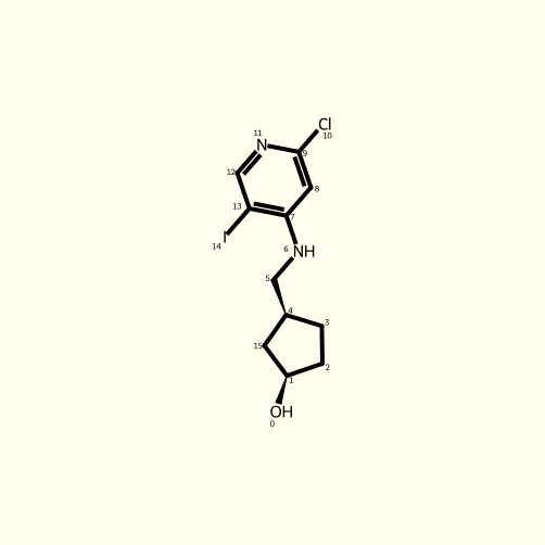 O[C@@H]1CC[C@H](CNc2cc(Cl)ncc2I)C1